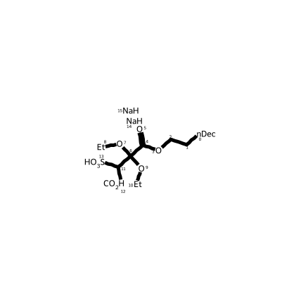 CCCCCCCCCCCCOC(=O)C(OCC)(OCC)C(C(=O)O)S(=O)(=O)O.[NaH].[NaH]